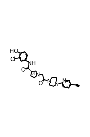 C#Cc1ccc(N2CCN(C(=O)CN3CC[C@@H](C(=O)Nc4ccc(O)c(Cl)c4)C3)CC2)nc1